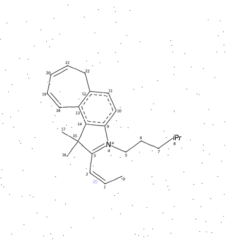 C/C=C\C1=[N+](CCCC(C)C)c2ccc3c(c2C1(C)C)C=CC=CC3